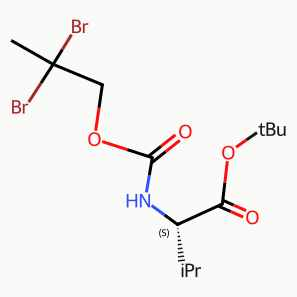 CC(C)[C@H](NC(=O)OCC(C)(Br)Br)C(=O)OC(C)(C)C